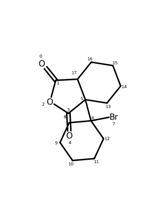 O=C1OC(=O)C2(C3(Br)CCCCC3)CCCCC12